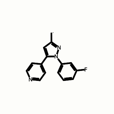 [CH2]c1cc(-c2ccncc2)n(-c2cccc(F)c2)n1